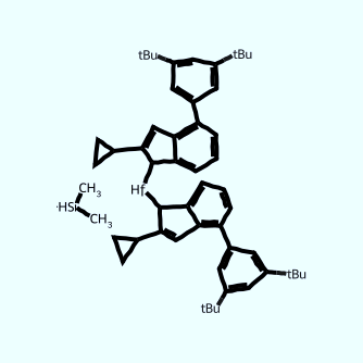 CC(C)(C)c1cc(-c2cccc3c2C=C(C2CC2)[CH]3[Hf][CH]2C(C3CC3)=Cc3c(-c4cc(C(C)(C)C)cc(C(C)(C)C)c4)cccc32)cc(C(C)(C)C)c1.C[SiH]C